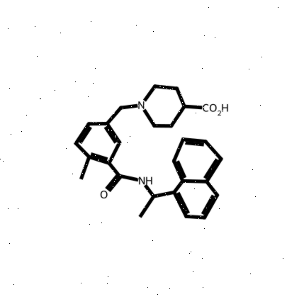 Cc1ccc(CN2CCC(C(=O)O)CC2)cc1C(=O)NC(C)c1cccc2ccccc12